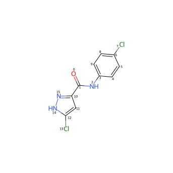 O=C(Nc1ccc(Cl)cc1)c1cc(Cl)[nH]n1